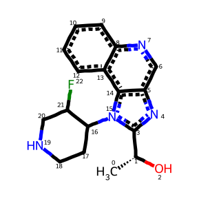 C[C@@H](O)c1nc2cnc3ccccc3c2n1C1CCNCC1F